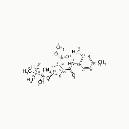 COC(=O)[C@H]1C[C@H](O[Si](C)(C)C(C)(C)C)C[C@@H]1C(=O)Nc1ccc(C)cc1C